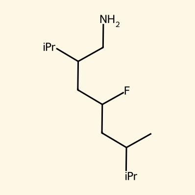 CC(C)C(C)CC(F)CC(CN)C(C)C